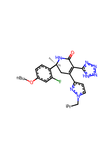 CCCCOc1ccc([C@]2(C)CC(c3ccn(CC(C)C)n3)=C(c3nnn[nH]3)C(=O)N2)c(F)c1